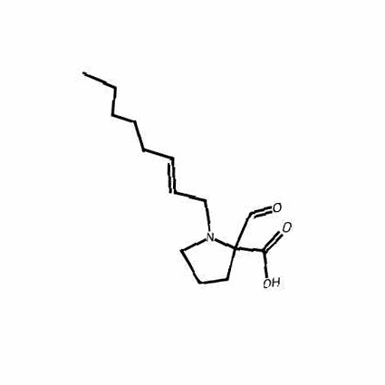 CCCCCC=CCN1CCCC1(C=O)C(=O)O